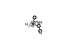 CS(=O)(=O)N1Cc2cc(-c3ccncc3)ccc2NCC1Cc1ccccc1